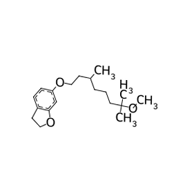 COC(C)(C)CCCC(C)CCOc1ccc2c(c1)OCC2